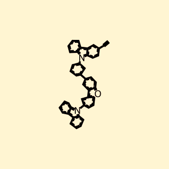 C#Cc1ccc2c(c1)c1ccccc1n2-c1cccc(-c2ccc3oc4ccc(-n5c6ccccc6c6ccccc65)cc4c3c2)c1